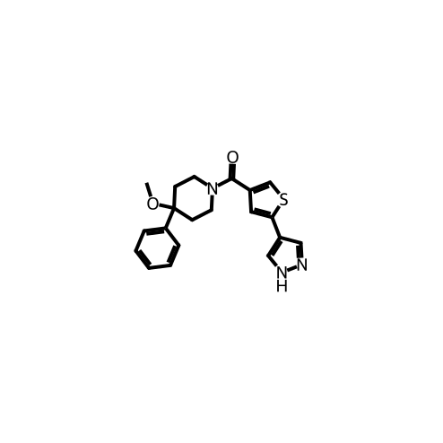 COC1(c2ccccc2)CCN(C(=O)c2csc(-c3cn[nH]c3)c2)CC1